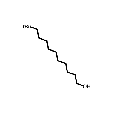 CC(C)(C)CCCCCCCCCCO